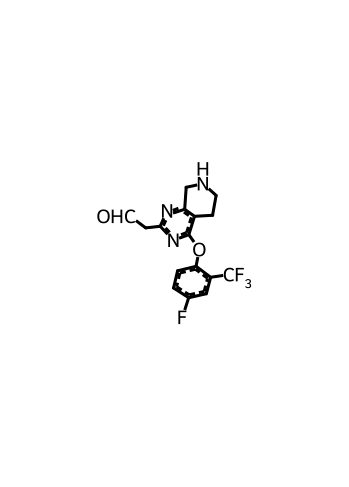 O=CCc1nc2c(c(Oc3ccc(F)cc3C(F)(F)F)n1)CCNC2